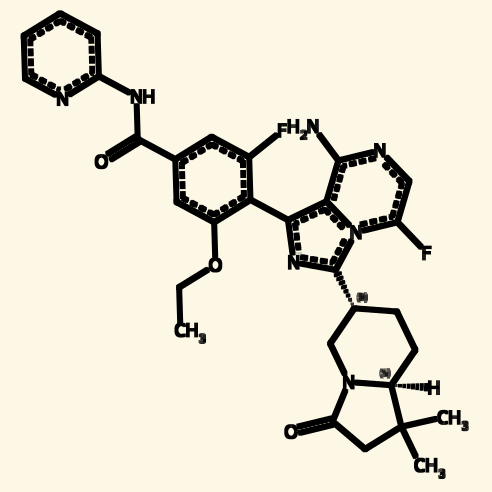 CCOc1cc(C(=O)Nc2ccccn2)cc(F)c1-c1nc([C@@H]2CC[C@@H]3N(C2)C(=O)CC3(C)C)n2c(F)cnc(N)c12